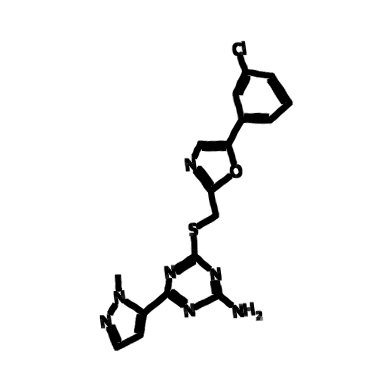 Cn1nccc1-c1nc(N)nc(SCc2ncc(-c3cccc(Cl)c3)o2)n1